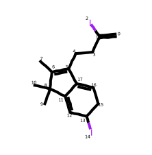 C=C(I)CCC1=C(C)C(C)(C)C2=CC(I)CC=C21